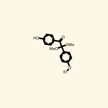 CCOc1ccc(C(OC)(OC)C(=O)c2ccc(O)cc2)cc1